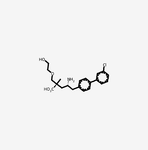 C[C@@](COCCO)(C[C@H](N)Cc1ccc(-c2cccc(Cl)c2)cc1)C(=O)O